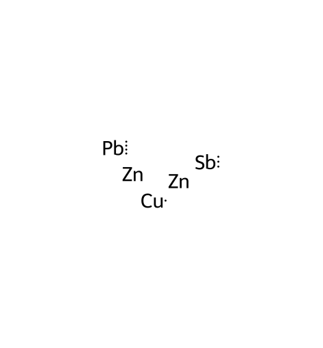 [Cu].[Pb].[Sb].[Zn].[Zn]